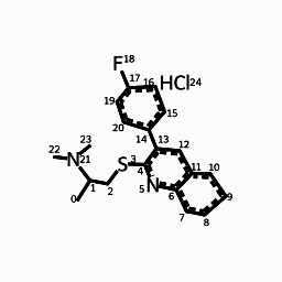 CC(CSc1nc2ccccc2cc1-c1ccc(F)cc1)N(C)C.Cl